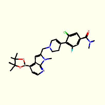 CN(C)C(=O)c1cc(F)c(C2=CCN(Cc3cc4c(B5OC(C)(C)C(C)(C)O5)ccnc4n3C)CC2)c(Cl)c1